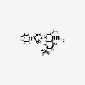 CC[C@@H]1C[C@H](c2ncc(N3CCOCC3)cn2)c2cc(C(F)(F)F)ccc2N1N